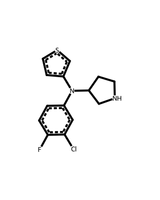 Fc1ccc(N(c2ccsc2)C2CCNC2)cc1Cl